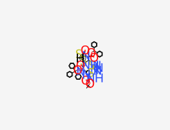 Cn1nnnc1SCC1=C(C(=O)OC(c2ccccc2)c2ccccc2)N2C(=O)C(=S)[C@@H]2SC1NC(=O)/C(=N\OC(c1ccccc1)(c1ccccc1)c1ccccc1)c1csc(NC(=O)OC(C)(C)C)n1